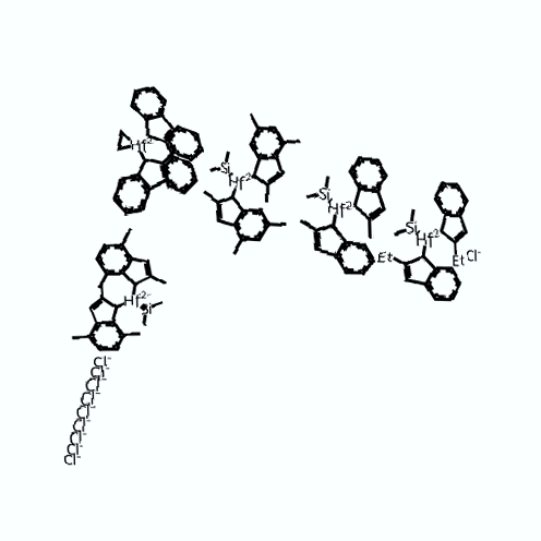 C1=C(c2ccccc2)[CH]([Hf-2]2([CH]3C(c4ccccc4)=Cc4ccccc43)[CH2][CH2]2)c2ccccc21.CC1=Cc2c(C)cc(C)cc2[CH]1[Hf-2]([CH]1C(C)=Cc2c(C)cc(C)cc21)=[Si](C)C.CC1=Cc2c(C)ccc(C)c2[CH]1[Hf-2]([CH]1C(C)=Cc2c(C)ccc(C)c21)=[Si](C)C.CC1=Cc2ccccc2[CH]1[Hf-2]([CH]1C(C)=Cc2ccccc21)=[Si](C)C.CCC1=Cc2ccccc2[CH]1[Hf-2]([CH]1C(CC)=Cc2ccccc21)=[Si](C)C.[Cl-].[Cl-].[Cl-].[Cl-].[Cl-].[Cl-].[Cl-].[Cl-].[Cl-].[Cl-]